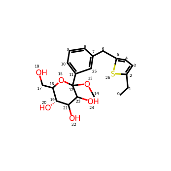 CCc1ccc(Cc2cccc(C3(OC)OC(CO)[C@@H](O)C(O)C3O)c2)s1